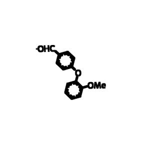 COc1ccccc1Oc1ccc([C]=O)cc1